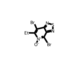 CCc1c(Br)c2nsnc2c(Br)[n+]1[O-]